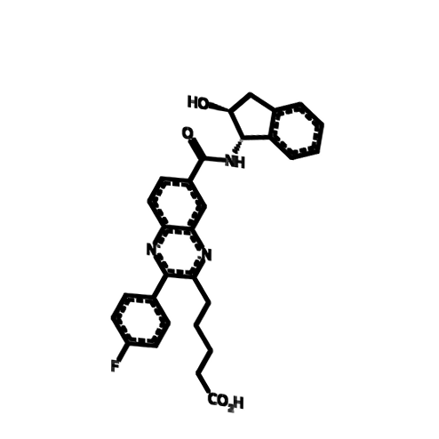 O=C(O)CCCCc1nc2cc(C(=O)N[C@H]3c4ccccc4C[C@@H]3O)ccc2nc1-c1ccc(F)cc1